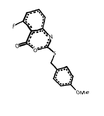 COc1ccc(CSc2nc3cccc(F)c3c(=O)o2)cc1